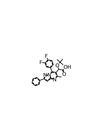 Cc1nc2cc(-c3ccccc3)nn2c(-c2ccc(F)c(F)c2)c1C(OC(C)(C)C)C(=O)O